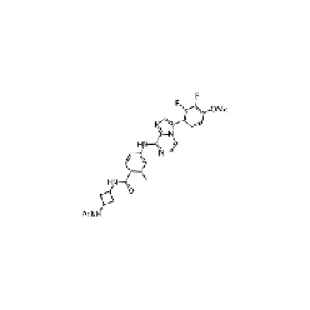 COc1ccc(-c2cnc3c(Nc4ccc(C(=O)NC5CC(NC(C)=O)C5)c(C)c4)nccn23)c(F)c1F